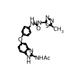 CC(=O)Nc1nc2cc(Oc3ccc(NC(=O)Nc4nnc(C)s4)cc3)ccc2[nH]1